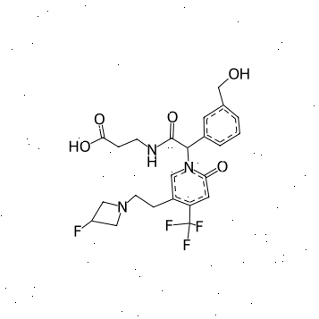 O=C(O)CCNC(=O)C(c1cccc(CO)c1)n1cc(CCN2CC(F)C2)c(C(F)(F)F)cc1=O